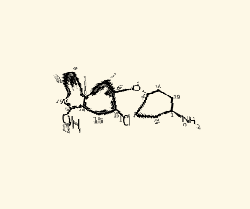 N[C@H]1CC[C@H](Oc2cc3ccnc(O)c3cc2Cl)CC1